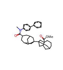 COC(=O)C12CCCC3CC1CC(C14CC5CC(C(=O)N(C)c6ccc(-c7ccccc7)cc6)CC(C1)C(C5)C4)(C3)C2